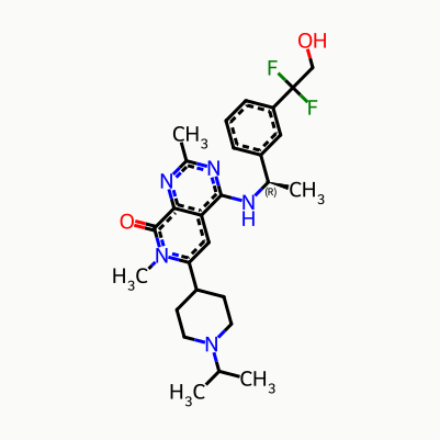 Cc1nc(N[C@H](C)c2cccc(C(F)(F)CO)c2)c2cc(C3CCN(C(C)C)CC3)n(C)c(=O)c2n1